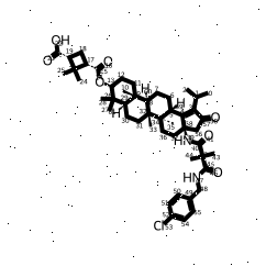 CC(C)C1=C2[C@H]3CC[C@@H]4[C@@]5(C)CC[C@H](OC(=O)[C@H]6C[C@@H](C(=O)O)C6(C)C)C(C)(C)[C@@H]5CC[C@@]4(C)[C@]3(C)CC[C@@]2(NC(=O)C(C)(C)C(=O)NCc2ccc(Cl)cc2)CC1=O